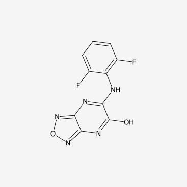 Oc1nc2nonc2nc1Nc1c(F)cccc1F